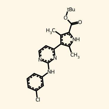 Cc1[nH]c(C(=O)OC(C)(C)C)c(C)c1-c1ccnc(Nc2cccc(Cl)c2)n1